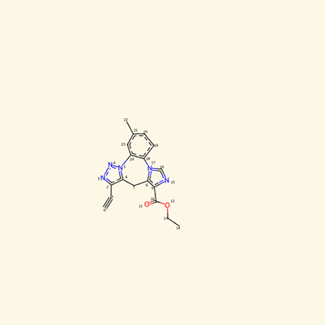 C#Cc1nnn2c1Cc1c(C(=O)OCC)ncn1-c1ccc(C)cc1-2